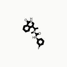 CC(c1c[nH]c(=O)c2ccccc12)N(C)C(=O)Nc1cccc(F)c1